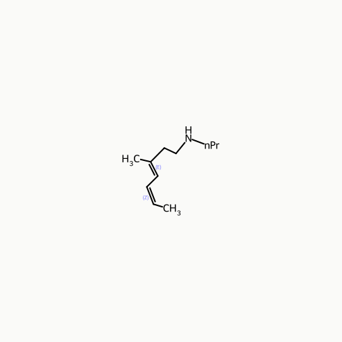 C/C=C\C=C(/C)CCNCCC